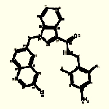 Cc1cc(N)cc(C)c1CNC(=O)c1cn(Cc2ccc3ncc(Cl)cc3c2)c2ccncc12